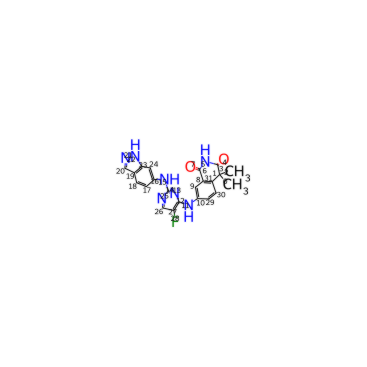 CC1(C)C(=O)NC(=O)c2cc(Nc3nc(Nc4ccc5cn[nH]c5c4)ncc3F)ccc21